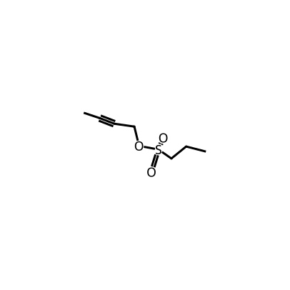 CC#CCOS(=O)(=O)CCC